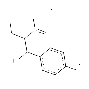 O=[N+]([O-])C(CO)C(O)c1ccc(Cl)cc1